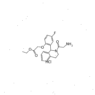 CCOC(=O)COc1ccc(F)cc1C1c2ccccc2CCN1C(=O)CN.Cl